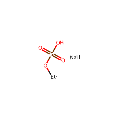 C[CH]OS(=O)(=O)O.[NaH]